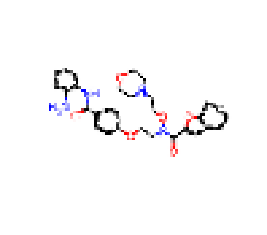 Nc1ccccc1NC(=O)c1ccc(OCCN(OCCN2CCOCC2)C(=O)c2cc3ccccc3o2)cc1